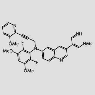 CN/C=C(\C=N)c1cnc2ccc(N(CC#Cc3ncccc3OC)c3c(F)c(OC)cc(OC)c3F)cc2c1